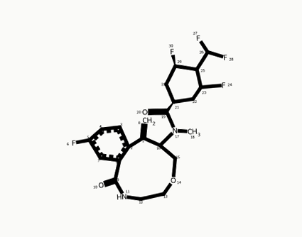 C=C1c2ccc(F)cc2C(=O)NCCOCC1N(C)C(=O)[C@@H]1CC(F)C(C(F)F)[C@H](F)C1